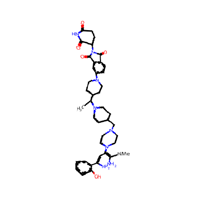 CN/C(N)=C(/C=C(\N)c1ccccc1O)N1CCN(CC2CCN(C(C)C3CCN(c4ccc5c(c4)C(=O)N(C4CCC(=O)NC4=O)C5=O)CC3)CC2)CC1